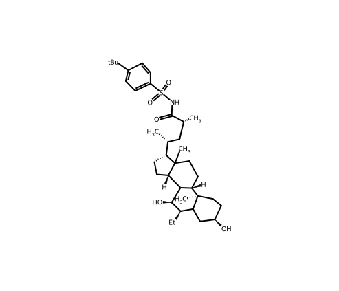 CC[C@@H]1C2C[C@H](O)CC[C@]2(C)[C@H]2CCC3(C)[C@@H]([C@H](C)C[C@@H](C)C(=O)NS(=O)(=O)c4ccc(C(C)(C)C)cc4)CC[C@H]3C2[C@@H]1O